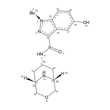 CC[C@H](C)n1nc(C(=O)N[C@H]2C[C@H]3COC[C@@H](C2)N3)c2cc(O)ccc21